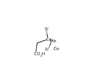 O=C(O)[CH2][Ce][Br].[Co].[Mn][Br]